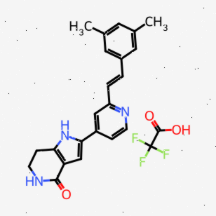 Cc1cc(C)cc(/C=C/c2cc(-c3cc4c([nH]3)CCNC4=O)ccn2)c1.O=C(O)C(F)(F)F